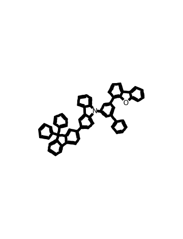 c1ccc(-c2cc(-c3cccc4c3oc3ccccc34)cc(-n3c4ccccc4c4cc(-c5ccc6c(c5)C(c5ccccc5)(c5ccccc5)c5ccccc5-6)ccc43)c2)cc1